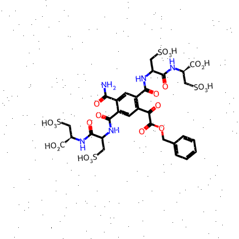 NC(=O)c1cc(C(=O)NC(CS(=O)(=O)O)C(=O)N[C@H](CS(=O)(=O)O)C(=O)O)c(C(=O)C(=O)OCc2ccccc2)cc1C(=O)NC(CS(=O)(=O)O)C(=O)N[C@H](CS(=O)(=O)O)C(=O)O